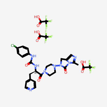 Cc1ncc2n1C(=O)N(N1CCN(C(=O)[C@@H](Cc3ccncc3)NC(=O)Nc3ccc(Cl)cc3)CC1)C2.O=C(O)C(F)(F)F.O=C(O)C(F)(F)F.O=C(O)C(F)(F)F